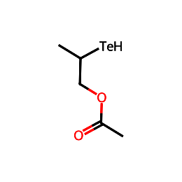 CC(=O)OCC(C)[TeH]